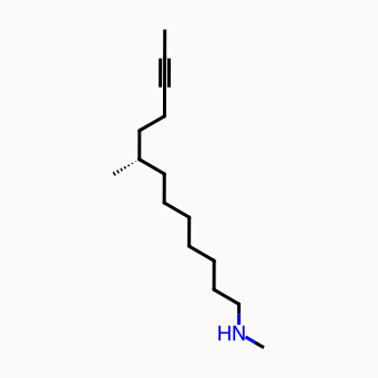 CC#CCC[C@@H](C)CCCCCCCNC